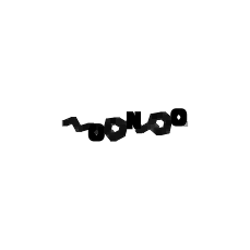 CCCCOc1ccc(N=Cc2ccc(OC)cc2)cc1